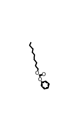 CCCCCCCCCOC(=O)Oc1ccccc1